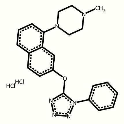 CN1CCN(c2cccc3ccc(Oc4nnnn4-c4ccccc4)cc23)CC1.Cl.Cl